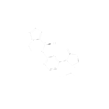 CCn1nccc1[C@@H](C)Nc1nccc(N2C(=O)OC[C@@H]2C(C)C)n1